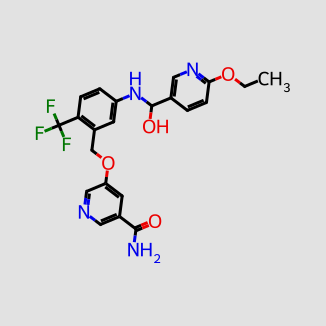 CCOc1ccc(C(O)Nc2ccc(C(F)(F)F)c(COc3cncc(C(N)=O)c3)c2)cn1